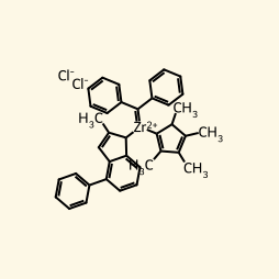 CC1=Cc2c(-c3ccccc3)cccc2[CH]1[Zr+2]([C]1=C(C)C(C)=C(C)C1C)=[C](c1ccccc1)c1ccccc1.[Cl-].[Cl-]